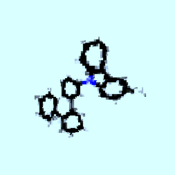 Cc1ccc2c(c1)c1ccccc1n2-c1cccc(-c2ccccc2-c2ccccc2)c1